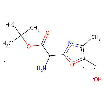 Cc1nc(C(N)C(=O)OC(C)(C)C)oc1CO